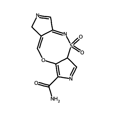 NC(=O)C1=C2O/C=C3/CN=C/C3=N/S(=O)(=O)C2C=N1